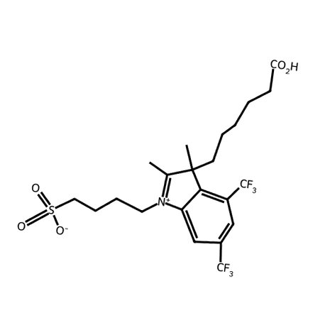 CC1=[N+](CCCCS(=O)(=O)[O-])c2cc(C(F)(F)F)cc(C(F)(F)F)c2C1(C)CCCCCC(=O)O